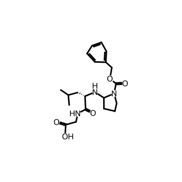 CC(C)C[C@H](NC1CCCN1C(=O)OCc1ccccc1)C(=O)NCC(=O)O